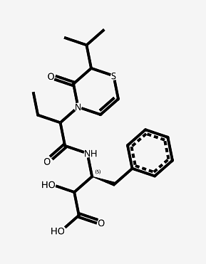 CCC(C(=O)N[C@@H](Cc1ccccc1)C(O)C(=O)O)N1C=CSC(C(C)C)C1=O